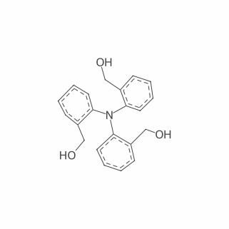 OCc1ccccc1N(c1ccccc1CO)c1ccccc1CO